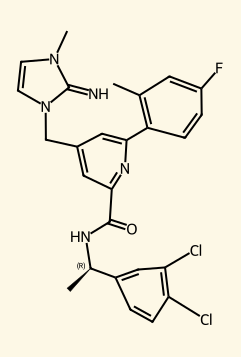 Cc1cc(F)ccc1-c1cc(Cn2ccn(C)c2=N)cc(C(=O)N[C@H](C)c2ccc(Cl)c(Cl)c2)n1